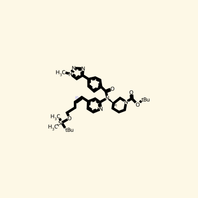 Cn1cc(-c2ccc(C(=O)N(c3cc(/C=C\CCO[Si](C)(C)C(C)(C)C)ccn3)[C@@H]3CCCN(C(=O)OC(C)(C)C)C3)cc2)nn1